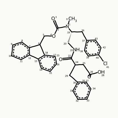 CN(C(=O)OCC1c2ccccc2-c2ccccc21)[C@@H](CNC(=O)C(CC(=O)O)Cc1ccccc1)Cc1ccc(Cl)cc1